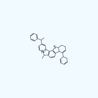 CC(c1ccccc1)c1cc[n+]2c(c1)-c1c(ccc3c1SC1CCC=C(C4C=CC=CC4)C31)C2C